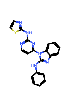 c1ccc(Nc2nc3ccccc3n2-c2ccnc(Nc3nccs3)n2)cc1